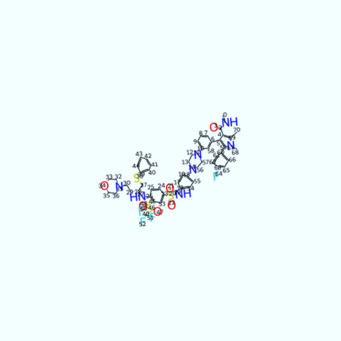 CNC(=O)c1c(-c2cccc(N3CCN(c4ccc(NS(=O)(=O)c5ccc(N[C@H](CCN6CCOCC6)CSc6ccccc6)c(S(=O)(=O)C(F)(F)F)c5)cc4)CC3)c2)c(-c2ccc(F)cc2)n(C)c1C